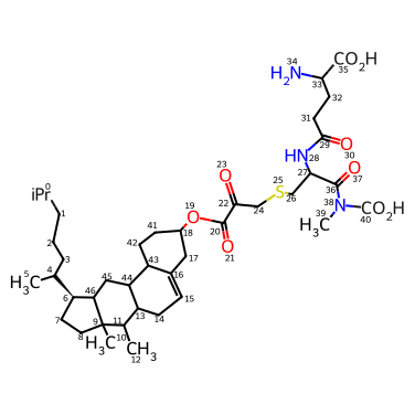 CC(C)CCCC(C)[C@@H]1CCC2(C)C(C)C3CC=C4CC(OC(=O)C(=O)CSCC(NC(=O)CCC(N)C(=O)O)C(=O)N(C)C(=O)O)CCC4C3CC12